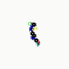 FC(F)(F)Oc1ccc(-n2cnc3c4c(ccc32)=C/C(=C/N=N\C(S)=N\c2ccccc2Cl)CC=4)cc1